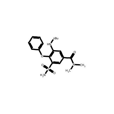 CCCCNc1cc(C(=O)N(C)C)cc(S(N)(=O)=O)c1Oc1ccccc1